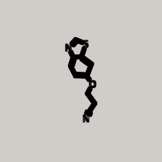 N#CCCOc1ccc2ncsc2c1